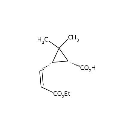 CCOC(=O)/C=C\[C@H]1[C@@H](C(=O)O)C1(C)C